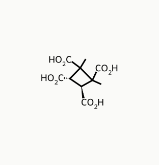 CC1(C(=O)O)[C@@H](C(=O)O)[C@H](C(=O)O)C1(C)C(=O)O